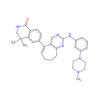 CN1CCN(c2cccc(Nc3ncc4c(n3)CCCC=C4c3ccc4c(c3)C(C)(C)CNC4=O)c2)CC1